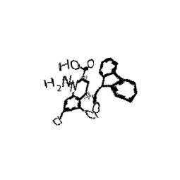 NN1c2cc(Cl)cc(Cl)c2[C@@H](C(=O)C2c3ccccc3-c3ccccc32)C[C@@H]1C(=O)O